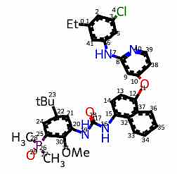 CCc1cc(Cl)cc(Nc2cc(Oc3ccc(NC(=O)Nc4cc(C(C)(C)C)cc(P(C)(C)=O)c4OC)c4ccccc34)ccn2)c1